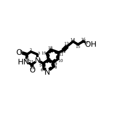 O=C1CCN(c2cncc3cc(C#CCCCO)ccc23)C(=O)N1